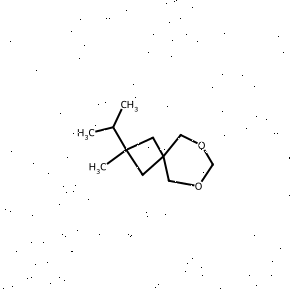 CC(C)C1(C)CC2(COCOC2)C1